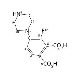 O=C(O)c1ccc(N2CCNCC2)c(F)c1C(=O)O